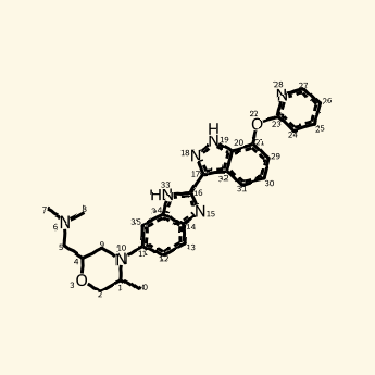 CC1COC(CN(C)C)CN1c1ccc2nc(-c3n[nH]c4c(Oc5ccccn5)cccc34)[nH]c2c1